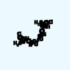 COc1ccc(Cl)cc1NC(=O)C1CCc2c(ncn2OC(=O)/C=C/C(=O)On2cnc3c2CCC(C(=O)Nc2cc(Cl)ccc2OC)C3)C1